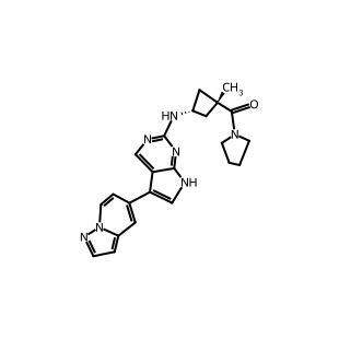 C[C@]1(C(=O)N2CCCC2)C[C@@H](Nc2ncc3c(-c4ccn5nccc5c4)c[nH]c3n2)C1